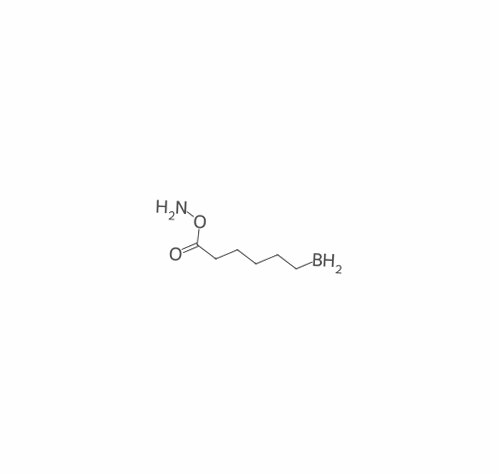 BCCCCCC(=O)ON